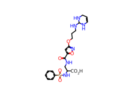 O=C(NCC(NS(=O)(=O)c1ccccc1)C(=O)O)c1cc(OCCCNC2NC=CCN2)no1